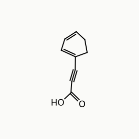 O=C(O)C#CC1=CC=CCC1